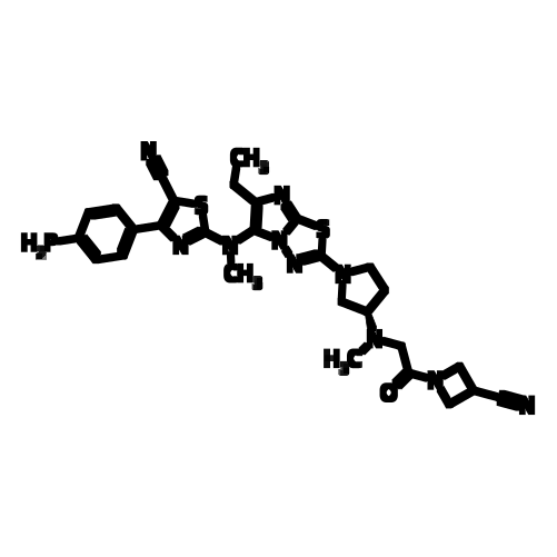 CCc1nc2sc(N3CC[C@@H](N(C)CC(=O)N4CC(C#N)C4)C3)nn2c1N(C)c1nc(-c2ccc(P)cc2)c(C#N)s1